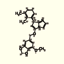 COc1cc(COC2=C[C@@H](c3cccc(C)c3C)c3nccn32)cc2c1OCO2